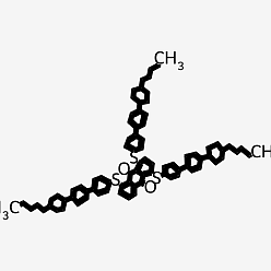 CCCCCC1CCC(c2ccc(-c3ccc(Sc4cccc5c4C(=O)c4c(Sc6ccc(-c7ccc(C8CCC(CCCCC)CC8)cc7)cc6)ccc(Sc6ccc(-c7ccc(C8CCC(CCCCC)CC8)cc7)cc6)c4C5=O)cc3)cc2)CC1